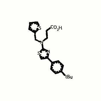 CC(C)(C)c1ccc(-c2csc(N(CCC(=O)O)Cc3cccs3)n2)cc1